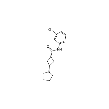 O=C(Nc1cccc(Cl)c1)N1CC(N2CCCC2)C1